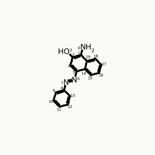 Nc1c(O)cc(/N=N/c2ccccc2)c2ccccc12